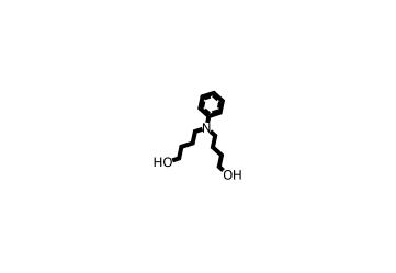 OCCCCN(CCCCO)c1ccccc1